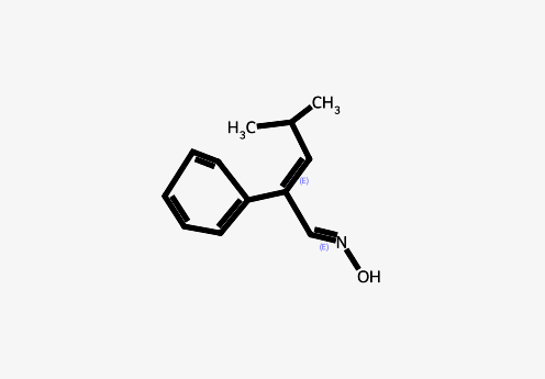 CC(C)/C=C(/C=N/O)c1ccccc1